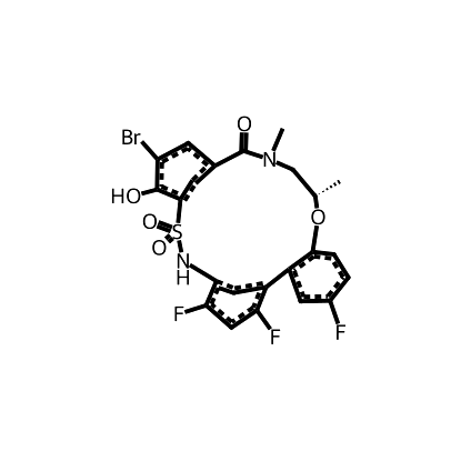 C[C@H]1CN(C)C(=O)c2cc(Br)c(O)c(c2)S(=O)(=O)Nc2cc(c(F)cc2F)-c2cc(F)ccc2O1